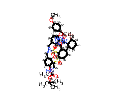 COc1ccc(CN(Cc2ccc(OC)cc2)S(=O)(=O)c2c(S(=O)(=O)CCNC(=O)OC(C)(C)C)ccc(-c3cccc(Br)c3[N+](=O)[O-])c2-c2nnn(Cc3ccc(OC)cc3)n2)cc1